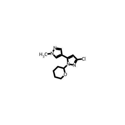 Cn1cc(-c2cc(Cl)nn2C2CCCCO2)cn1